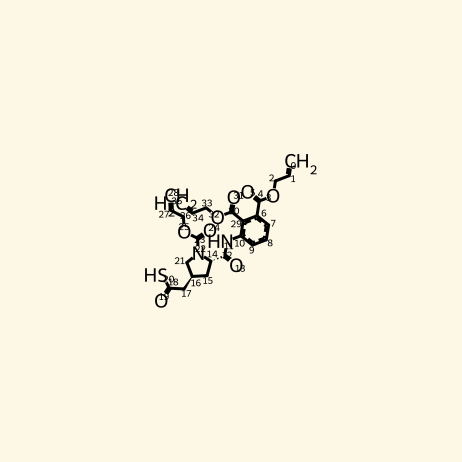 C=CCOC(=O)c1cccc(NC(=O)[C@@H]2C[C@@H](CC(=O)S)CN2C(=O)OCC=C)c1C(=O)OCC=C